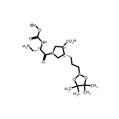 CC(C)(C)OC(=O)N[C@@H](CN)C(=O)N1C[C@@H](CCCB2OC(C)(C)C(C)(C)O2)[C@H](C(=O)O)C1